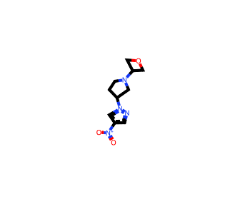 O=[N+]([O-])c1cnn(C2CCN(C3COC3)C2)c1